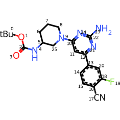 CC(C)(C)OC(=O)NC1CCCN(c2cc(-c3ccc(C#N)c(F)c3)nc(N)n2)C1